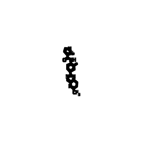 Cc1cc(-c2ncc3c(n2)CCC(C(F)(F)F)=N3)ccc1NC(=O)c1ccnn1C